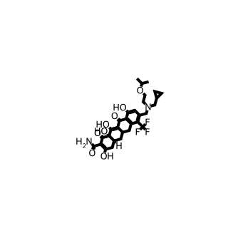 CC(C)OCCN(Cc1cc(O)c2c(c1C(F)(F)F)CC1C[C@H]3CC(O)=C(C(N)=O)C(=O)[C@@]3(O)C(O)=C1C2=O)CC1CC1